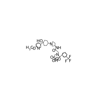 COc1ccc(C2(O)CCC(N3CC[C@@H](NC(=O)CN(CS(=O)(=O)O)C(=O)c4cccc(C(F)(F)F)c4)C3)CC2)cn1